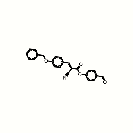 N#C/C(=C\c1ccc(OCc2ccccc2)cc1)C(=O)Oc1ccc(C=O)cc1